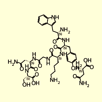 NC(=O)C[C@H](N)C(=O)O.NCCCC[C@H](NC(=O)[C@H](Cc1ccc(O)cc1)NC(=O)[C@@H](N)Cc1c[nH]c2ccccc12)C(=O)NCC(=O)N[C@@H](CC(N)=O)C(=O)N[C@@H](CO)C(=O)O